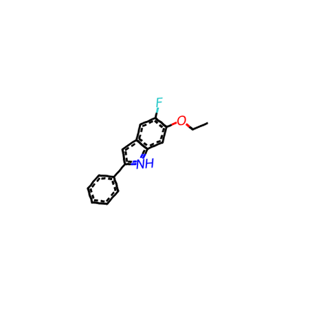 CCOc1cc2[nH]c(-c3ccccc3)cc2cc1F